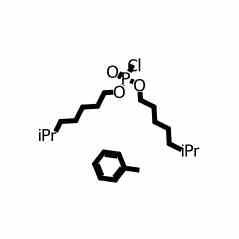 CC(C)CCCCCOP(=O)(Cl)OCCCCCC(C)C.Cc1ccccc1